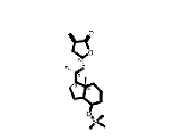 C=C1C[C@@H](C[C@@H](C)[C@H]2CCC3C(O[Si](C)(C)C)CCC[C@]32C)OC1=O